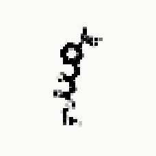 CCOC(=O)CC(=O)Cc1cccc([N+](=O)[O-])c1